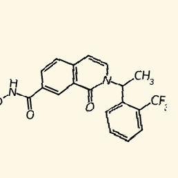 CC(c1ccccc1C(F)(F)F)n1ccc2ccc(C(=O)NO)cc2c1=O